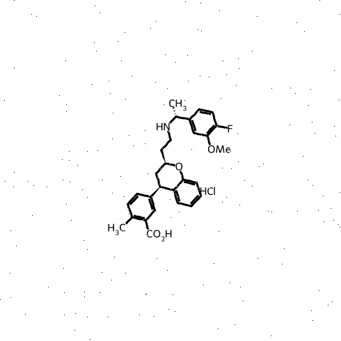 COc1cc([C@@H](C)NCC[C@@H]2C[C@H](c3ccc(C)c(C(=O)O)c3)c3ccccc3O2)ccc1F.Cl